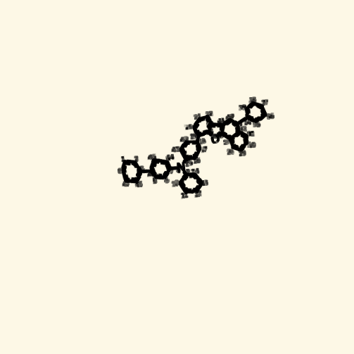 c1ccc(-c2ccc(N(c3ccccc3)c3ccc(-c4cccc5c4oc4c6ccccc6c(-c6ccccc6)cc54)cc3)cc2)cc1